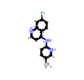 Fc1ccc2c(Nc3ccc(C(F)(F)F)cn3)ccnc2c1